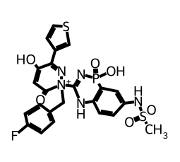 CS(=O)(=O)Nc1ccc2c(c1)P(=O)(O)N=C([N+]1(Cc3ccc(F)cc3)N=C(c3ccsc3)C(O)=CC1=O)N2